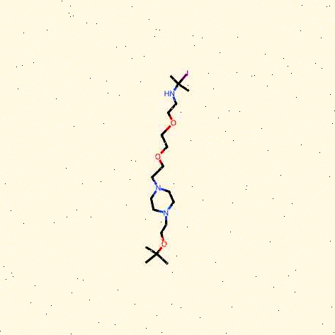 CC(C)(I)NCCOCCOCCN1CCN(CCOC(C)(C)C)CC1